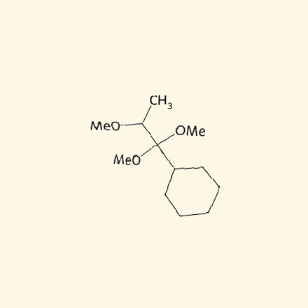 COC(C)C(OC)(OC)C1CCCCC1